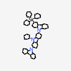 c1ccc(-n2c3cc(-n4c5ccccc5c5ccccc54)ccc3c3ccc(-n4c5ccccc5c5cc([Si](c6ccccc6)(c6ccccc6)c6ccccc6)ccc54)cc32)cc1